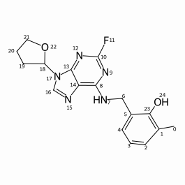 Cc1cccc(CNc2nc(F)nc3c2ncn3C2CCCO2)c1O